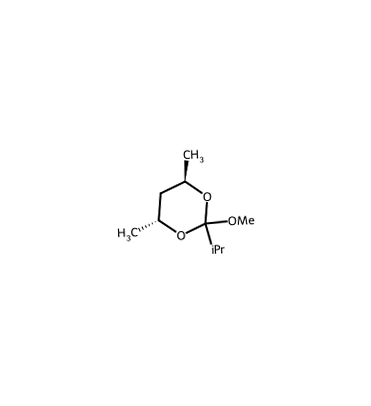 COC1(C(C)C)O[C@H](C)C[C@@H](C)O1